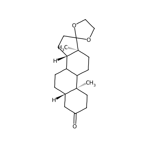 C[C@]12CCC3C(CC[C@H]4CC(=O)CC[C@]34C)[C@@H]1CCC21OCCO1